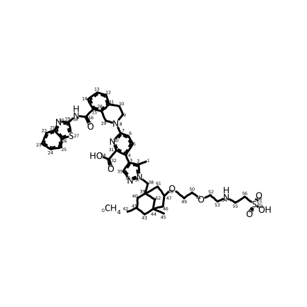 C.Cc1c(-c2ccc(N3CCc4cccc(C(=O)Nc5nc6ccccc6s5)c4C3)nc2C(=O)O)cnn1CC12CC(C)CC(C)(CC(OCCOCCNCCS(=O)(=O)O)C1)C2